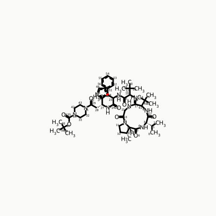 CC(C)[C@@H]1NC(=O)[C@@H]2[C@H](C)CCN2C(=O)CN/C(=N\C(C(=O)NC(C(=O)N[C@H](CC(=O)N2CCN(C(=O)OC(C)(C)C)CC2)c2nccs2)[C@@H](C)c2ccccc2)C(C)(C)C)C(C(C)(C)C)NC1=O